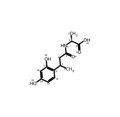 CC(CC(=O)N[C@@H](C)C(=O)O)c1ccc(O)cc1O